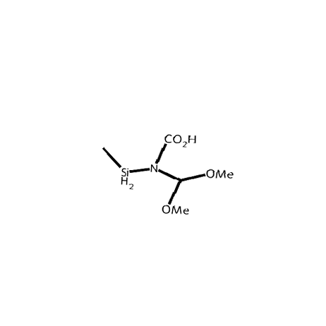 COC(OC)N([SiH2]C)C(=O)O